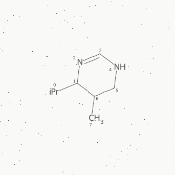 CC(C)C1N=CNCC1C